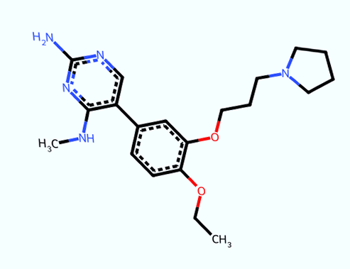 CCOc1ccc(-c2cnc(N)nc2NC)cc1OCCCN1CCCC1